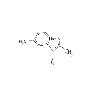 Cc1ccn2nc(C)c(Br)c2c1